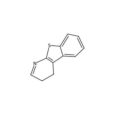 C1=Nc2sc3ccccc3c2CC1